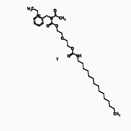 CCCCCCCCCCCCCCCNC(=O)OCCOCCOC(=O)N(Cc1cccc[n+]1CC)C(C)=O.[I-]